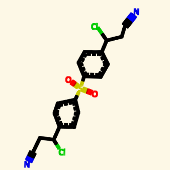 N#CCC(Cl)c1ccc(S(=O)(=O)c2ccc(C(Cl)CC#N)cc2)cc1